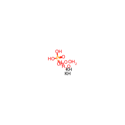 O.O.O.O=P(O)(O)O.[KH].[KH]